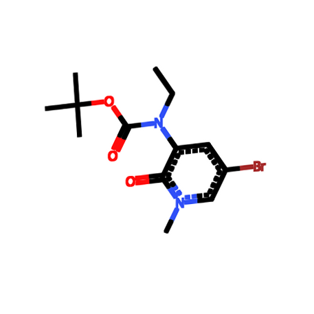 CCN(C(=O)OC(C)(C)C)c1cc(Br)cn(C)c1=O